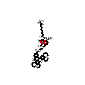 [N-]=[N+]=Nc1ccc(CN(CCNC(=O)c2ccc(C(=O)O)c(C3=c4cc5c6c(c4Oc4c3cc3c7c4CCCN7CCCC3)CCC[N+]=6CCCC5)c2)C(=O)c2ccc(NC(=O)CCCCCCC(=O)NO)cc2)c(N=[N+]=[N-])c1